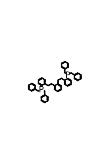 c1ccc(CP(Cc2ccccc2)c2ccccc2CCc2ccccc2CCc2ccccc2P(Cc2ccccc2)Cc2ccccc2)cc1